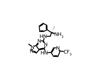 Cn1ncc2c(Nc3ccc(C(F)(F)F)nc3)nc(NC[C@](C)(N)c3ccccc3)nc21